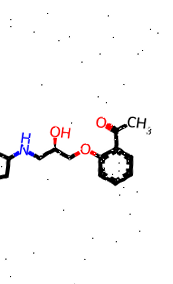 CC(=O)c1ccccc1OC[C@H](O)CNC1CCCC1